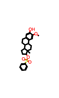 COc1cc2c(cc1O)CCC1C2CCC2(C)C(OS(=O)(=O)c3ccccc3)CCC12